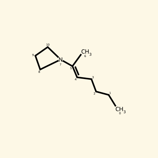 CCCC/C=C(\C)N1CCC1